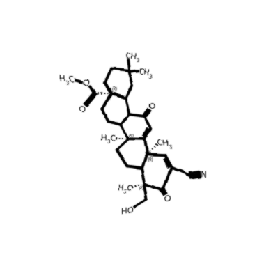 COC(=O)[C@@]12CCC3C(C(=O)C=C4[C@@]5(C)C=C(C#N)C(=O)[C@@](C)(CO)C5CC[C@]43C)C1CC(C)(C)CC2